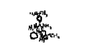 CCN1CCCC1CN1C(N)N(c2ccc(N(C)C)cc2)C(N)N(C2CCCCCC2)C1N